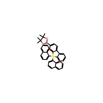 CC1(C)OB(c2ccc3c(c2)S(c2cccc4ccccc24)(c2cccc4ccccc24)c2ccccc2-3)OC1(C)C